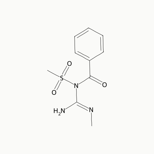 CN=C(N)N(C(=O)c1ccccc1)S(C)(=O)=O